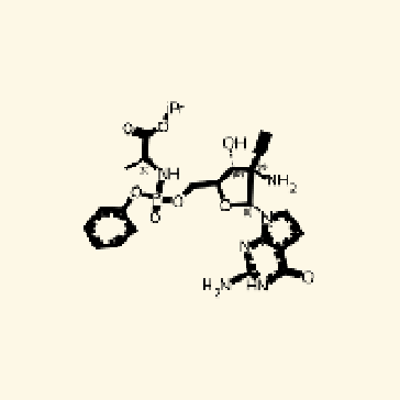 C#C[C@@]1(N)[C@@H](O)C(COP(=O)(N[C@@H](C)C(=O)OC(C)C)Oc2ccccc2)O[C@H]1n1ccc2c(=O)[nH]c(N)nc21